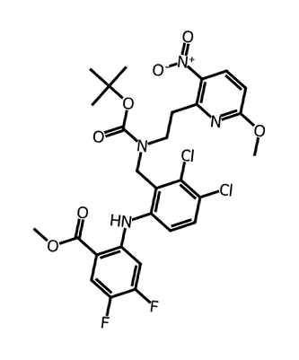 COC(=O)c1cc(F)c(F)cc1Nc1ccc(Cl)c(Cl)c1CN(CCc1nc(OC)ccc1[N+](=O)[O-])C(=O)OC(C)(C)C